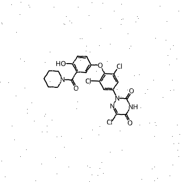 O=C(c1cc(Oc2c(Cl)cc(-n3nc(Cl)c(=O)[nH]c3=O)cc2Cl)ccc1O)N1CCCCC1